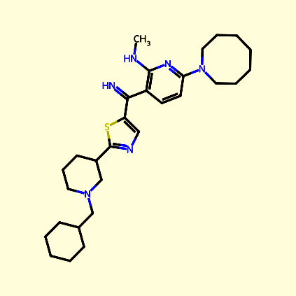 CNc1nc(N2CCCCCCC2)ccc1C(=N)c1cnc(C2CCCN(CC3CCCCC3)C2)s1